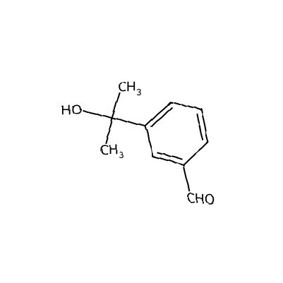 CC(C)(O)c1cccc(C=O)c1